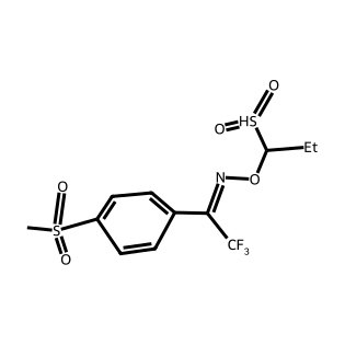 CCC(ON=C(c1ccc(S(C)(=O)=O)cc1)C(F)(F)F)[SH](=O)=O